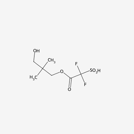 CC(C)(CO)COC(=O)C(F)(F)S(=O)(=O)O